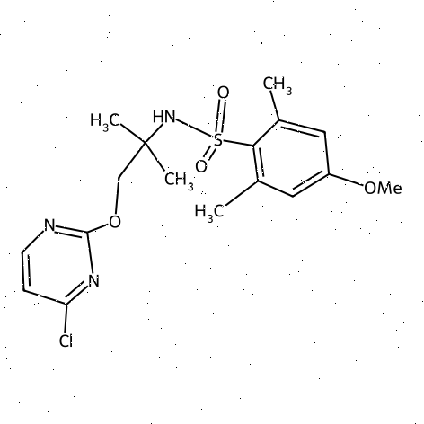 COc1cc(C)c(S(=O)(=O)NC(C)(C)COc2nccc(Cl)n2)c(C)c1